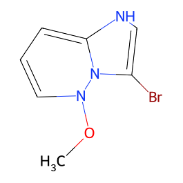 CON1C=CC=C2NC=C(Br)N21